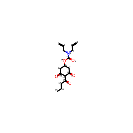 C=CCN(CC=C)C(=O)OC1CC(=O)C(C(=O)CCC)C(=O)C1